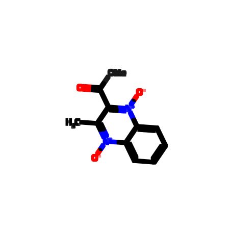 COC(=O)c1c(C)[n+]([O-])c2ccccc2[n+]1[O-]